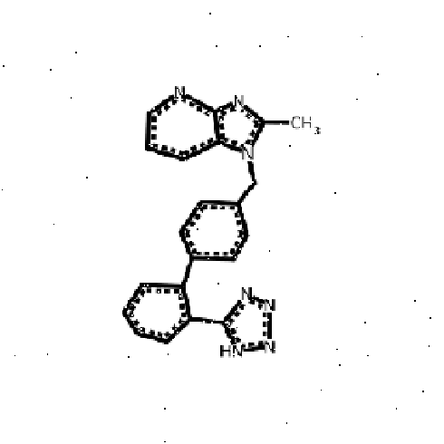 Cc1nc2ncccc2n1Cc1ccc(-c2ccccc2-c2nnn[nH]2)cc1